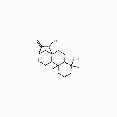 C=C1C2CCC3C4(C)CCCC(C)(C(=O)O)C4CCC3(C2)C1O